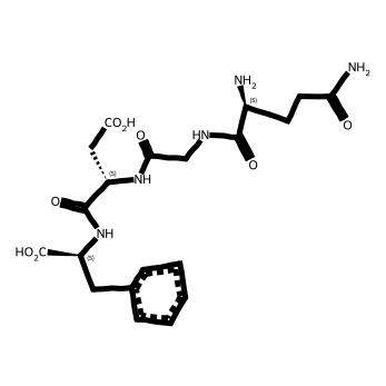 NC(=O)CC[C@H](N)C(=O)NCC(=O)N[C@@H](CC(=O)O)C(=O)N[C@@H](Cc1ccccc1)C(=O)O